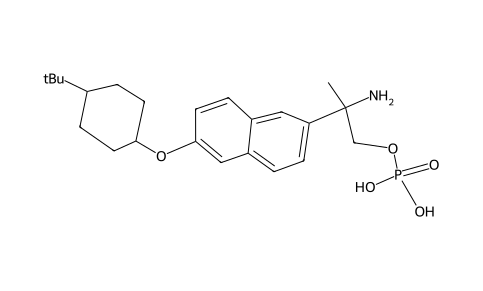 CC(N)(COP(=O)(O)O)c1ccc2cc(OC3CCC(C(C)(C)C)CC3)ccc2c1